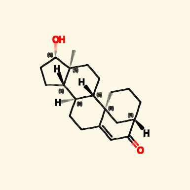 C[C@]12CC[C@H]3[C@@H](CCC4=CC(=O)[C@H]5CCC[C@]43C5)[C@@H]1CC[C@@H]2O